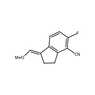 CO/C=C1\CCc2c1ccc(F)c2C#N